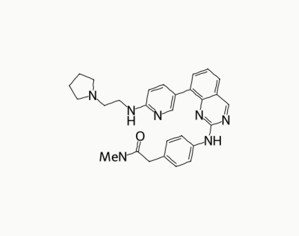 CNC(=O)Cc1ccc(Nc2ncc3cccc(-c4ccc(NCCN5CCCC5)nc4)c3n2)cc1